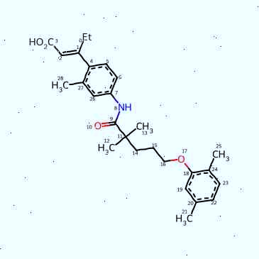 CCC(=CC(=O)O)c1ccc(NC(=O)C(C)(C)CCCOc2cc(C)ccc2C)cc1C